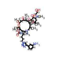 CC[C@H]1OC(=O)[C@H](C)C(=O)[C@H](C)[C@@H](O[C@@H]2OC(C)CC(N(C)CCO)C2O)[C@](C)(OC)C[C@@H](C)CN[C@H](C)[C@H]2N(CCCCn3cc(-c4cccc(N)c4)nn3)C(=O)O[C@]12C